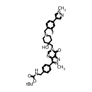 Cn1cc(-c2ccc(CN3CCC(O)(Cn4cnc5c(-c6ccc(CNC(=O)OC(C)(C)C)cc6)n(C)nc5c4=O)CC3)c(F)c2)cn1